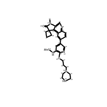 CSNc1cc(-c2ccc3ncc4c(c3c2)C2(CCC2)C(=O)N4C)cnc1OCCCN1CCNCC1